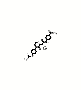 Cl.N=C(N)c1ccc(NC(=O)[C@H](O)[C@H]2OCCN(c3ccc(NC(N)=O)cc3)C2=O)cc1